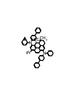 CC(C)c1cc(N(C2=CC=CC3=CC32)c2ccc(-c3ccccc3)cc2)c2c3c1ccc1c(N(C4=CCCC=C4)C4=CC=C(C5=CC=CCC5)CC4)cc4c(c13)C(C2)C(C)(C)CC4